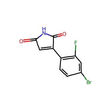 O=C1C=C(c2ccc(Br)cc2F)C(=O)N1